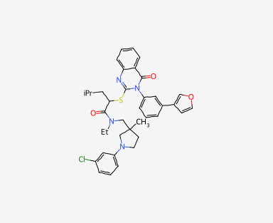 CCN(CC1(C)CCN(c2cccc(Cl)c2)C1)C(=O)C(CC(C)C)Sc1nc2ccccc2c(=O)n1-c1cccc(-c2ccoc2)c1